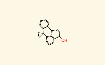 Oc1ccc2c3c(cccc13)C1(CC1)c1ccccc1-2